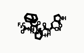 CN1[C@@H]2CC[C@H]1N(C(=O)[C@@H](NC(=O)C(F)(F)F)C13CC4CC(CC(C4)C1)C3)[C@@H]2C(=O)N[C@H](C#N)C[C@@H]1CCNC1=O